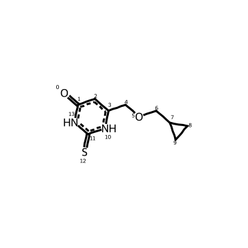 O=c1cc(COCC2CC2)[nH]c(=S)[nH]1